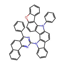 c1ccc(-c2nc(-n3c4ccccc4c4ccc5c(c6ccc7oc8ccccc8c7c6n5-c5ccccc5)c43)nc3c2ccc2ccccc23)cc1